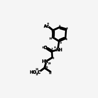 CC(=O)c1cccc(NC(=O)CNC(C)C(=O)O)c1